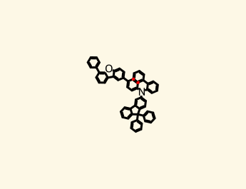 c1ccc(-c2ccccc2N(c2ccc(-c3ccc4oc5c(-c6ccccc6)cccc5c4c3)cc2)c2ccc3c(c2)-c2ccccc2C3(c2ccccc2)c2ccccc2)cc1